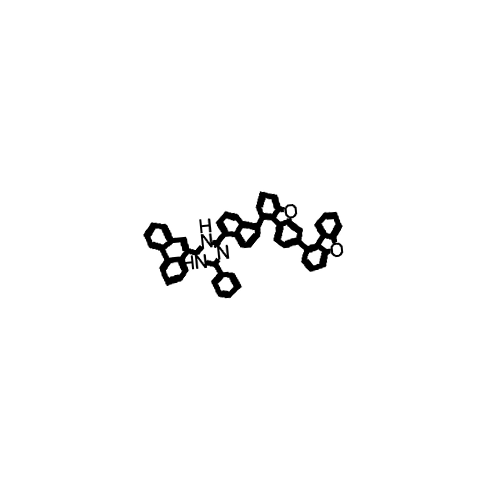 c1ccc(C2N=C(c3cccc4c(-c5cccc6oc7cc(-c8cccc9oc%10ccccc%10c89)ccc7c56)cccc34)NC(c3cc4ccccc4c4ccccc34)N2)cc1